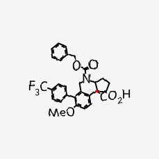 COc1ccc(CC(=O)O)c(CN(C(=O)OCc2ccccc2)C2CCCC2)c1-c1ccc(C(F)(F)F)cc1